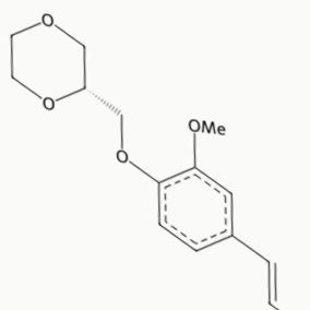 CC/C=C/c1ccc(OC[C@H]2COCCO2)c(OC)c1